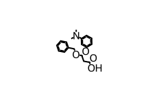 CN(C)c1ccccc1.O=C(O)CC(=O)OCc1ccccc1